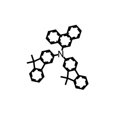 CC1(C)c2ccccc2-c2cc(N(c3ccc4c(c3)C(C)(C)c3ccccc3-4)c3cc4ccccc4c4ccccc34)ccc21